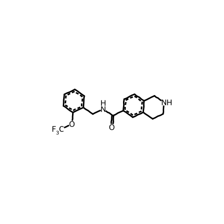 O=C(NCc1ccccc1OC(F)(F)F)c1ccc2c(c1)CCNC2